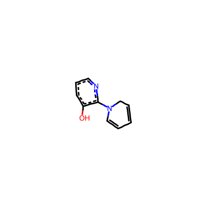 Oc1cccnc1N1C=CC=CC1